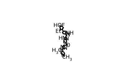 CCc1cc(O)c(F)cc1-c1ccc2c(-c3nc4c([nH]3)CCN(C(=O)c3cnc(N(C)C5CCN(C)CC5)cn3)C4)n[nH]c2c1